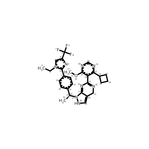 CCn1cc(C(F)(F)F)nc1-c1ccc([C@H](C)N2NC=C3CN=C(c4c(OC)ncnc4C4CCC4)N=C32)cc1